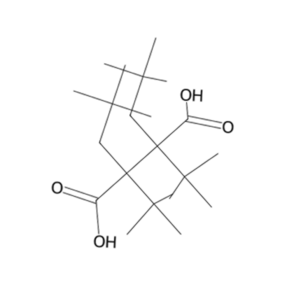 CC(C)(C)CC(C(=O)O)(C(C)(C)C)C(CC(C)(C)C)(C(=O)O)C(C)(C)C